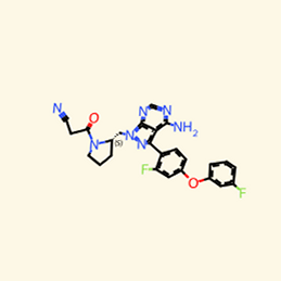 N#CCC(=O)N1CCC[C@H]1Cn1nc(-c2ccc(Oc3cccc(F)c3)cc2F)c2c(N)ncnc21